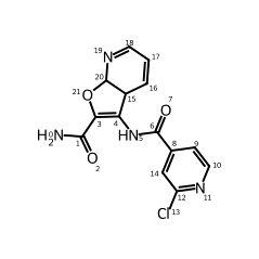 NC(=O)C1=C(NC(=O)c2ccnc(Cl)c2)C2C=CC=NC2O1